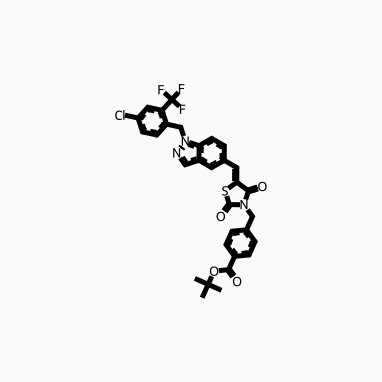 CC(C)(C)OC(=O)c1ccc(CN2C(=O)SC(=Cc3ccc4c(cnn4Cc4ccc(Cl)cc4C(F)(F)F)c3)C2=O)cc1